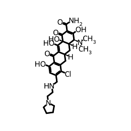 CN(C)[C@@H]1C(O)=C(C(N)=O)C(=O)[C@@]2(O)C(O)=C3C(=O)c4c(O)cc(CNCCN5CCCC5)c(Cl)c4C[C@H]3C[C@@H]12